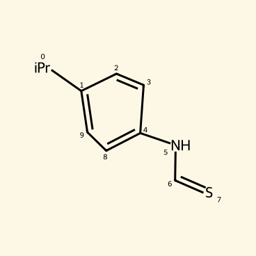 CC(C)c1ccc(NC=S)cc1